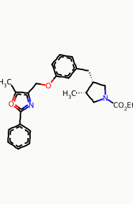 CCOC(=O)N1C[C@@H](Cc2cccc(OCc3nc(-c4ccccc4)oc3C)c2)[C@@H](C)C1